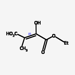 CCOC(=O)/C(O)=C(\C)C(=O)O